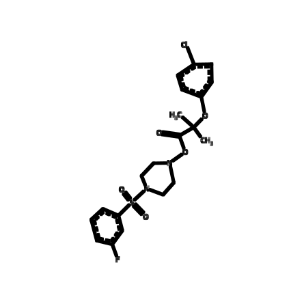 CC(C)(Oc1ccc(Cl)cc1)C(=O)ON1CCN(S(=O)(=O)c2cccc(F)c2)CC1